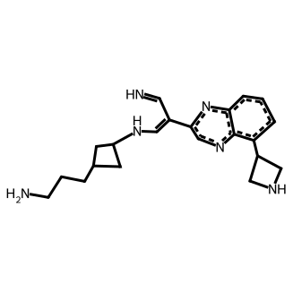 N=C/C(=C\NC1CC(CCCN)C1)c1cnc2c(C3CNC3)cccc2n1